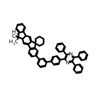 CC1(C)c2ccccc2C2C=C3C(=CC21)c1ccc(-c2cccc(-c4ccc(-c5nc(-c6ccccc6)c(-c6ccccc6)nc5-c5ccccc5)cc4)c2)cc1C31CCCCC1